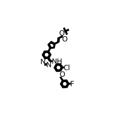 CC(C)(C)OC(=O)/C=C/C1=CC=C(c2ccc3ncnc(Nc4ccc(OCc5cccc(F)c5)c(Cl)c4)c3c2)C1